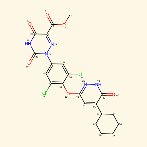 COC(=O)c1nn(-c2cc(Cl)c(Oc3cc(C4CCCCC4)c(=O)[nH]n3)c(Cl)c2)c(=O)[nH]c1=O